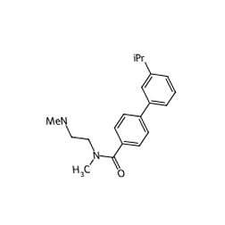 CNCCN(C)C(=O)c1ccc(-c2cccc(C(C)C)c2)cc1